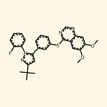 COc1cc2ncnc(Sc3cccc(-c4cc(C(C)(C)C)nn4-c4ccccc4F)c3)c2cc1OC